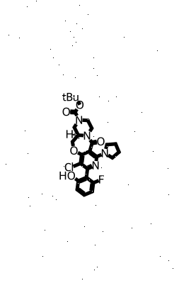 CC(C)(C)OC(=O)N1CCN2C(=O)c3c(N4CCCC4)nc(-c4c(O)cccc4F)c(Cl)c3OC[C@H]2C1